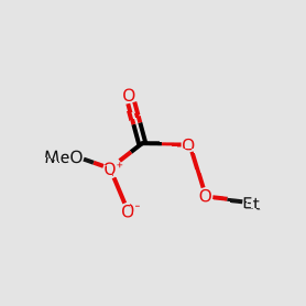 CCOOC(=O)[O+]([O-])OC